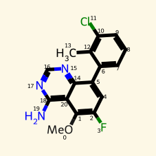 COc1c(F)cc(-c2cccc(Cl)c2C)c2ncnc(N)c12